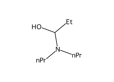 CCCN(CCC)C(O)CC